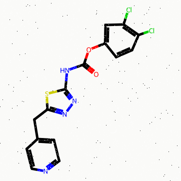 O=C(Nc1nnc(Cc2ccncc2)s1)Oc1ccc(Cl)c(Cl)c1